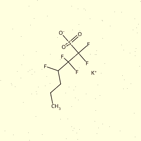 CCCC(F)C(F)(F)C(F)(F)S(=O)(=O)[O-].[K+]